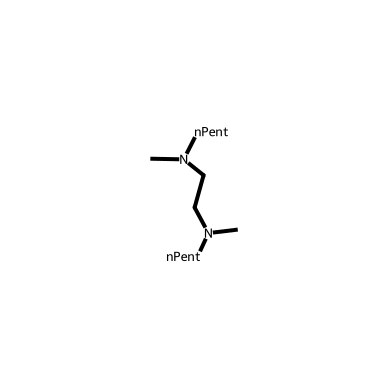 CCCCCN(C)CCN(C)CCCCC